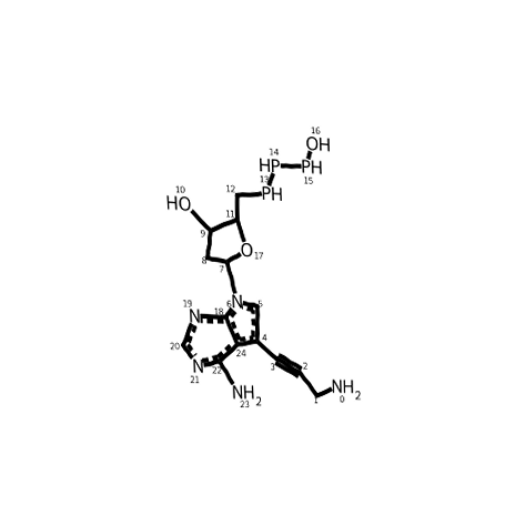 NCC#Cc1cn(C2CC(O)C(CPPPO)O2)c2ncnc(N)c12